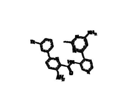 CCc1cccc(-c2ccc(N)c(C(=O)Nc3cnccc3-c3cc(N)nc(C)n3)n2)c1